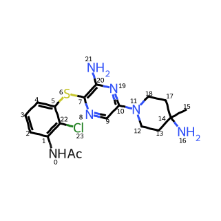 CC(=O)Nc1cccc(Sc2ncc(N3CCC(C)(N)CC3)nc2N)c1Cl